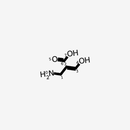 NCC=CO.O=CO